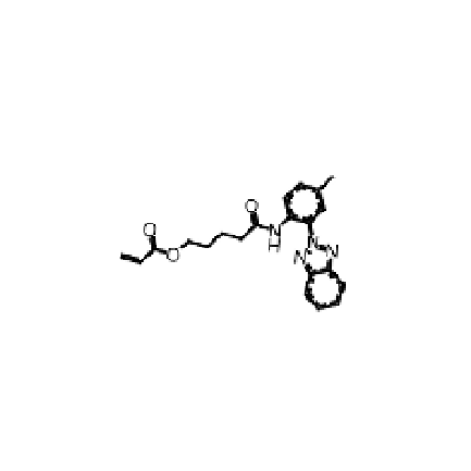 C=CC(=O)OCCCCC(=O)Nc1ccc(C)cc1-n1nc2ccccc2n1